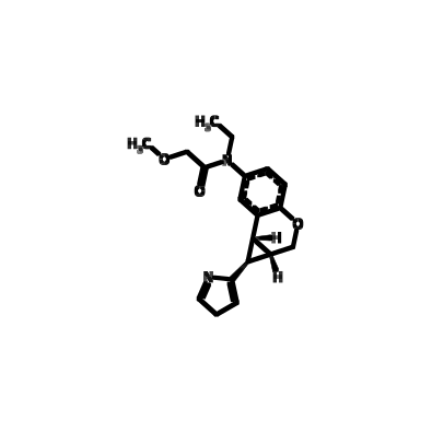 CCN(C(=O)COC)c1ccc2c(c1)[C@@H]1[C@H](CO2)[C@H]1C1=CCC=N1